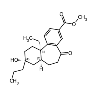 CCC[C@@]1(O)CC[C@@]2(CC)c3ccc(C(=O)OC)cc3C(=O)CC[C@H]2C1